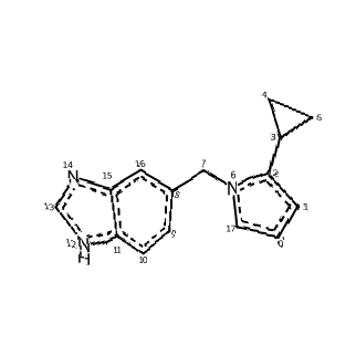 [c]1cc(C2CC2)n(Cc2ccc3[nH]cnc3c2)c1